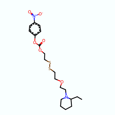 CCC1CCCCN1CCOCCSSCCOC(=O)Oc1ccc([N+](=O)[O-])cc1